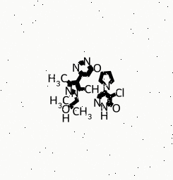 Cc1nn(CC(C)(C)O)c(C)c1-c1cc(O[C@@H]2CCN(c3cn[nH]c(=O)c3Cl)C2)ncn1